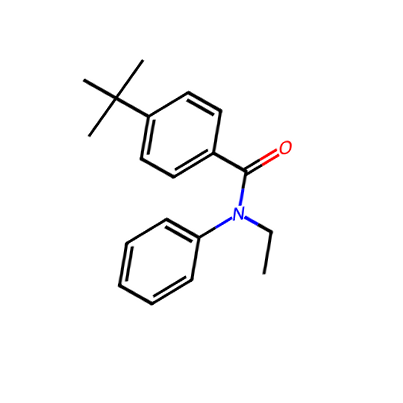 CCN(C(=O)c1ccc(C(C)(C)C)cc1)c1ccccc1